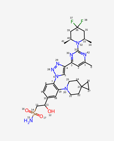 Cc1cc(-c2cn(-c3ccc(C(O)CS(N)(=O)=O)cc3N3CCC4(CC3)CC4)nn2)nc(N2[C@H](C)CC(F)(F)C[C@@H]2C)n1